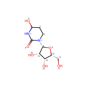 O=C1NC(O)CCN1[C@@H]1O[C@H](CO)[C@H](O)[C@@H]1O